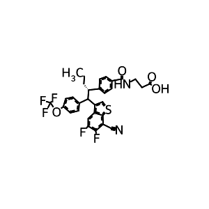 CCC[C@H](c1ccc(C(=O)NCCC(=O)O)cc1)C(c1ccc(OC(F)(F)F)cc1)c1csc2c(C#N)c(F)c(F)cc12